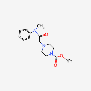 CC(C)OC(=O)N1CCN(CC(=O)N(C)c2ccccc2)CC1